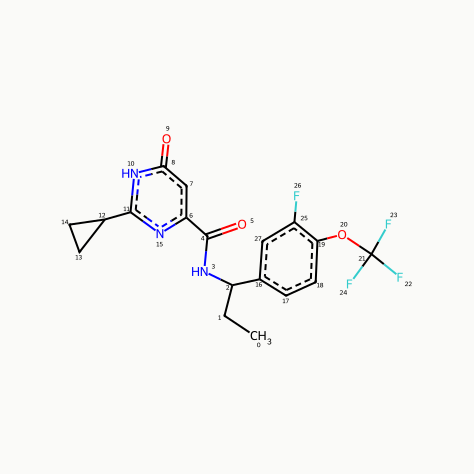 CCC(NC(=O)c1cc(=O)[nH]c(C2CC2)n1)c1ccc(OC(F)(F)F)c(F)c1